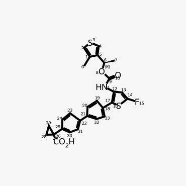 Cc1cscc1[C@@H](C)OC(=O)Nc1cc(F)sc1-c1ccc(-c2ccc(C3(C(=O)O)CC3)cc2)cc1